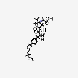 CCSC(C)(C)CCOC(C)(C)c1ccc(C(C)(C)[C@H](NC)C(=O)NC(C(=O)N(C)[C@H](/C=C(\C)C(=O)O)C(C)C)C(C)(C)C)cc1